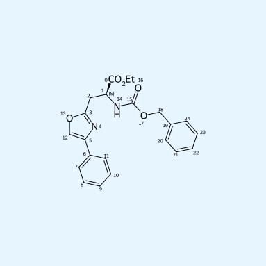 CCOC(=O)[C@H](Cc1nc(-c2ccccc2)co1)NC(=O)OCc1ccccc1